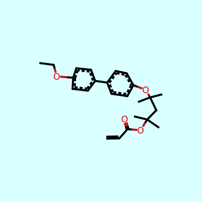 C=CC(=O)OC(C)(C)CC(C)(C)Oc1ccc(-c2ccc(OCC)cc2)cc1